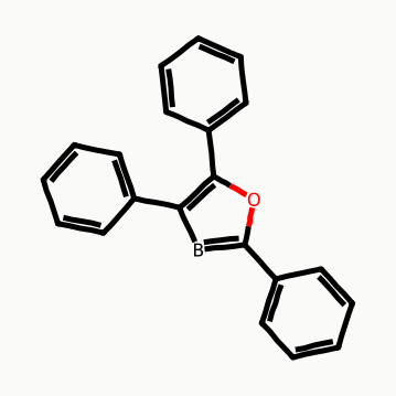 b1c(-c2ccccc2)oc(-c2ccccc2)c1-c1ccccc1